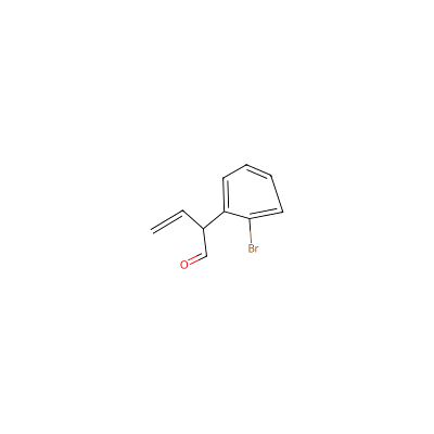 C=CC(C=O)c1ccccc1Br